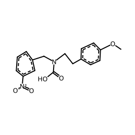 COc1ccc(CCN(Cc2cccc([N+](=O)[O-])c2)C(=O)O)cc1